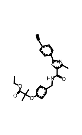 C#Cc1ccc(-c2nc(C)c(C(=O)NCc3ccc(OC(C)(C)C(=O)OCC)cc3)s2)cc1